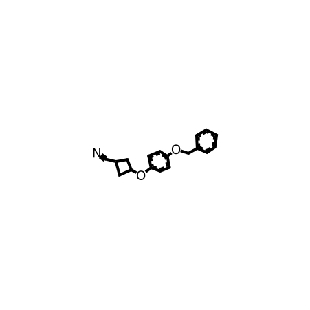 N#CC1CC(Oc2ccc(OCc3ccccc3)cc2)C1